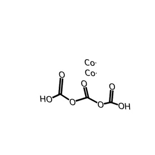 O=C(O)OC(=O)OC(=O)O.[Co].[Co]